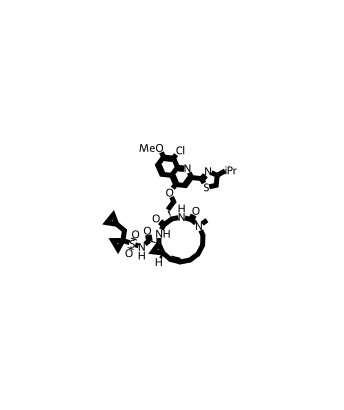 COc1ccc2c(OCC[C@@H]3NC(=O)N(C)CCCC/C=C\[C@@H]4C[C@@]4(C(=O)NS(=O)(=O)C4(CC5CC5)CC4)NC3=O)cc(C3=NC(C(C)C)CS3)nc2c1Cl